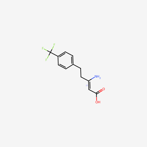 N/C(=C\C(=O)O)CCc1ccc(C(F)(F)F)cc1